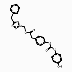 O=C(Cc1ccc(OC(=O)Oc2ccc(O)cc2)cc1)OCn1nnc(Cc2ccccc2)n1